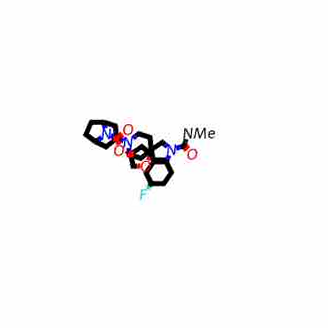 CNC(=O)N1CC2(CCN(C3CC4CCC(C3)N4C(=O)O[C@@H]3CCOC3)CC2)C2=C1CCC(F)C2